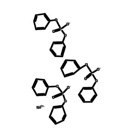 O=P([O-])(Oc1ccccc1)Oc1ccccc1.O=P([O-])(Oc1ccccc1)Oc1ccccc1.O=P([O-])(Oc1ccccc1)Oc1ccccc1.[Nd+3]